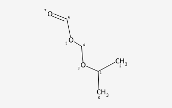 CC(C)OCO[C]=O